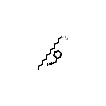 CCCCCCCCCCCCN.N#CCc1ccccc1